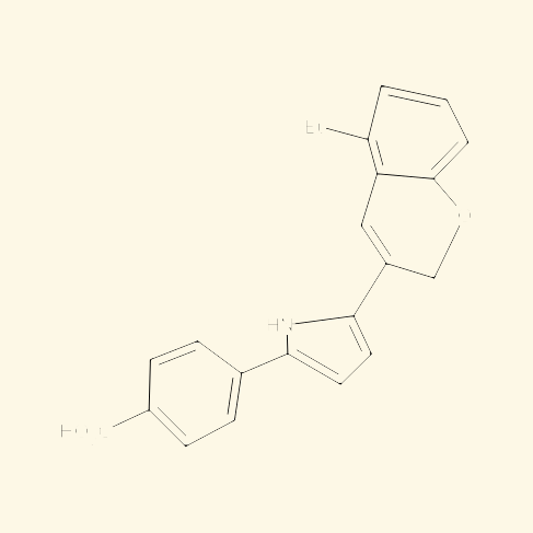 CCc1cccc2c1C=C(c1ccc(-c3ccc(C(=O)O)cc3)[nH]1)CO2